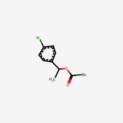 CCC(C)C(=O)OC(C)c1ccc(Br)cc1